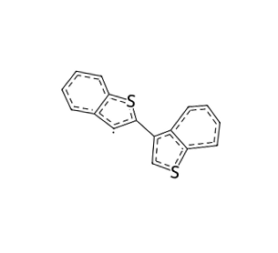 [c]1c(-c2csc3ccccc23)sc2ccccc12